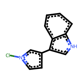 Cln1ccc(-c2c[nH]c3ccccc23)c1